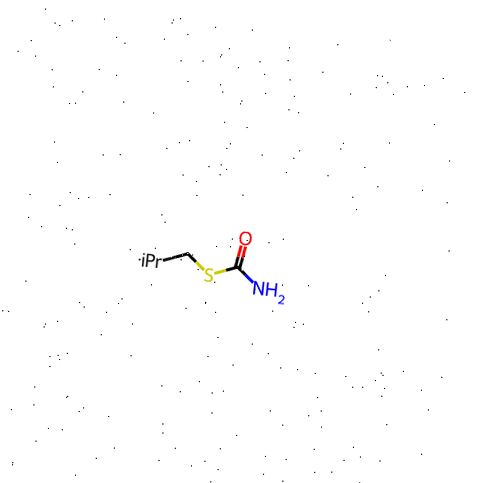 C[C](C)CSC(N)=O